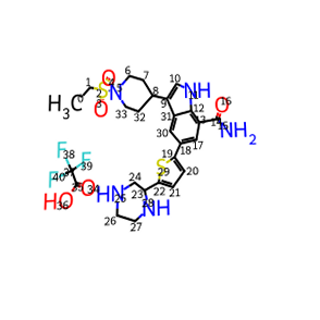 CCS(=O)(=O)N1CCC(c2c[nH]c3c(C(N)=O)cc(-c4ccc(C5CNCCN5)s4)cc23)CC1.O=C(O)C(F)(F)F